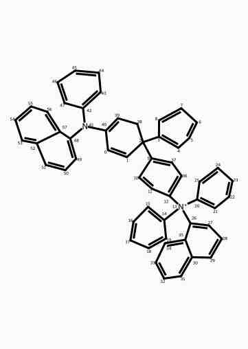 C1=CC(c2ccccc2)(c2ccc([N+](c3ccccc3)(c3ccccc3)c3cccc4ccccc34)cc2)CC=C1N(c1ccccc1)c1cccc2ccccc12